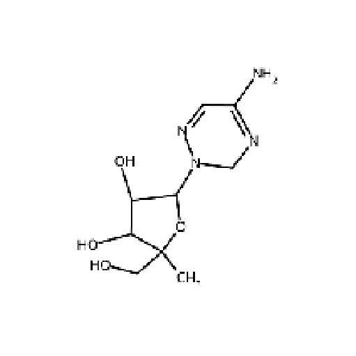 CC1(CO)OC(N2CN=C(N)C=N2)C(O)C1O